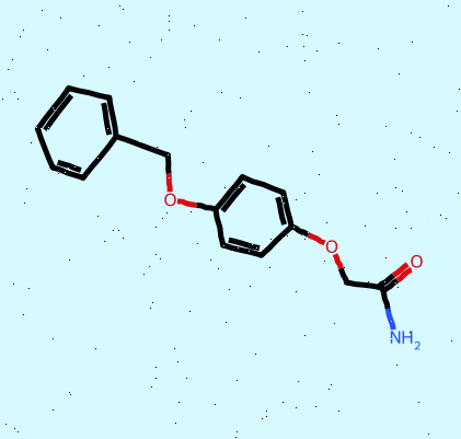 NC(=O)COc1ccc(OCc2ccccc2)cc1